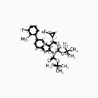 Cc1c(F)cccc1-c1ccc2nc(N(C(=O)OC(C)(C)C)C(=O)OC(C)(C)C)c(C(=O)[C@@H]3C[C@@H]3F)n2c1